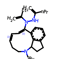 C=C(CCC)NN(C(=C)CC)/C1=C\C=C/CCN(C(C)CC)C2CCc3cccc1c32